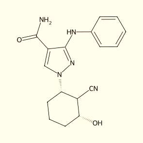 N#CC1[C@H](O)CCC[C@@H]1n1cc(C(N)=O)c(Nc2ccccc2)n1